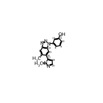 Cc1cc2nnn(-c3cccc(O)c3)c2cc1-c1ccnn1C